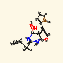 CCCCCCC(C)(C)c1nc(O)c2c(-c3cccs3)coc2n1